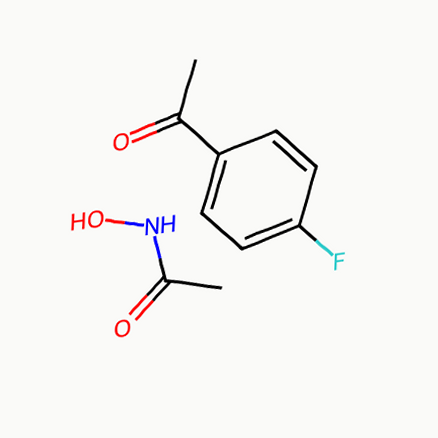 CC(=O)NO.CC(=O)c1ccc(F)cc1